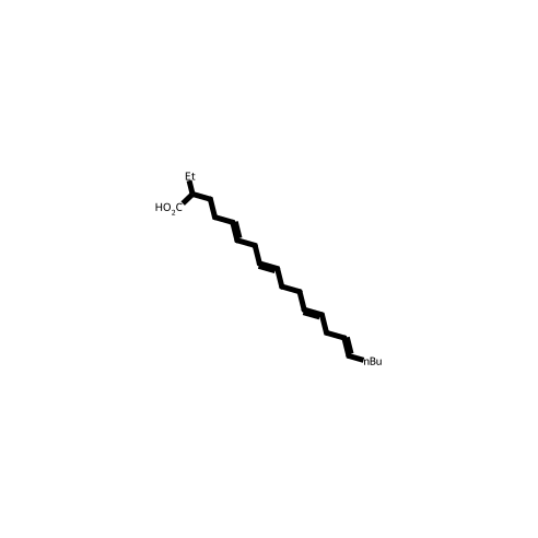 CCCCC=CCC=CCCC=CCC=CCCC(CC)C(=O)O